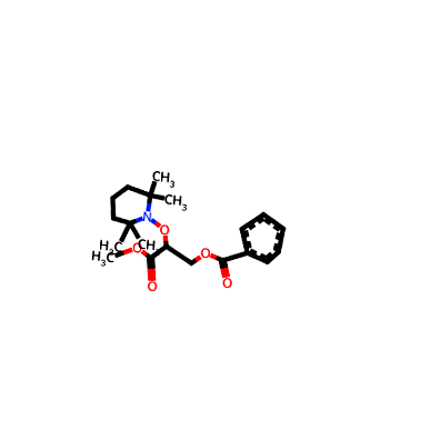 COC(=O)C(COC(=O)c1ccccc1)ON1C(C)(C)CCCC1(C)C